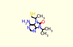 CC(C)n1c(=O)n(C(C)CS)c2c(N)ncnc21